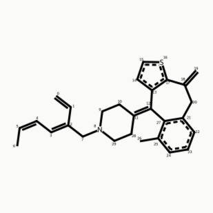 C=C/C(=C\C=C/C)CN1CCC(=C2c3ccsc3C(=C)Cc3cccc(C)c32)CC1